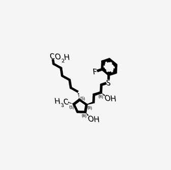 C[C@H]1C[C@@H](O)[C@H](CC[C@@H](O)CSc2ccccc2F)[C@H]1CCCCCCC(=O)O